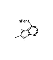 CCCCCc1cccc2sc(C)nc12